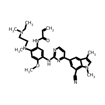 C=CC(=O)Nc1cc(Nc2nccc(-c3cc(C#N)c4c(c3)c(C)cn4C)n2)c(OC)cc1N(C)CCN(C)CC